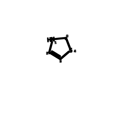 [C]1N[C]=CS1